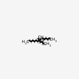 CCCCCCC[C](CC)(CCCC)[Mg][CH2]CCCCC